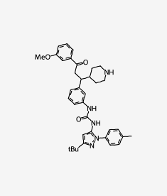 COc1cccc(C(=O)CC(c2cccc(NC(=O)Nc3cc(C(C)(C)C)nn3-c3ccc(C)cc3)c2)C2CCNCC2)c1